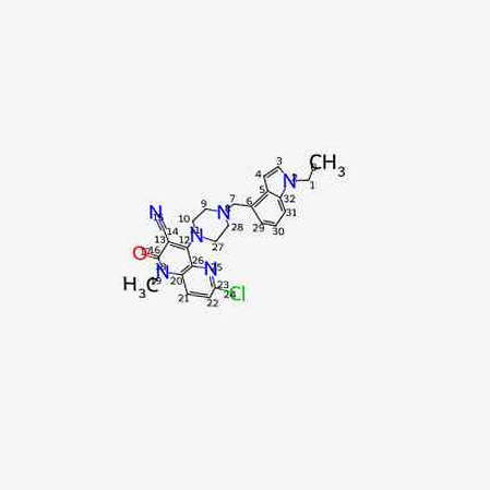 CCn1ccc2c(CN3CCN(c4c(C#N)c(=O)n(C)c5ccc(Cl)nc45)CC3)cccc21